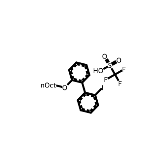 CCCCCCCCOc1ccccc1-c1ccccc1I.O=S(=O)(O)C(F)(F)F